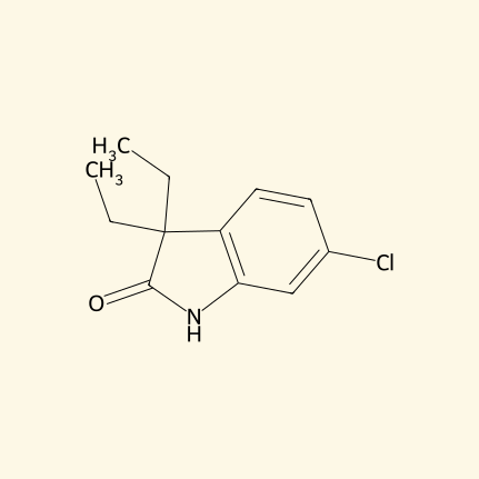 CCC1(CC)C(=O)Nc2cc(Cl)ccc21